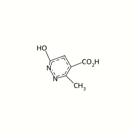 Cc1nnc(O)cc1C(=O)O